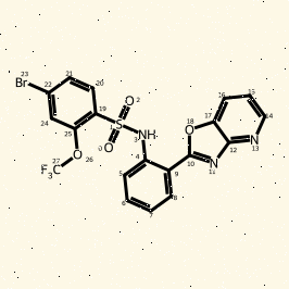 O=S(=O)(Nc1ccccc1-c1nc2ncccc2o1)c1ccc(Br)cc1OC(F)(F)F